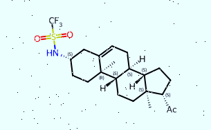 CC(=O)[C@H]1CC[C@H]2[C@@H]3CC=C4C[C@@H](NS(=O)(=O)C(F)(F)F)CC[C@]4(C)[C@H]3CC[C@]12C